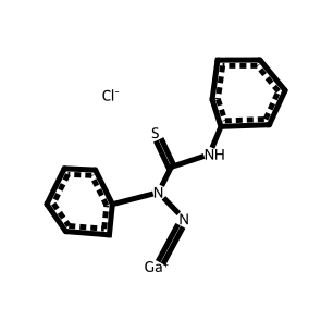 S=C(Nc1ccccc1)N([N]=[Ga+])c1ccccc1.[Cl-]